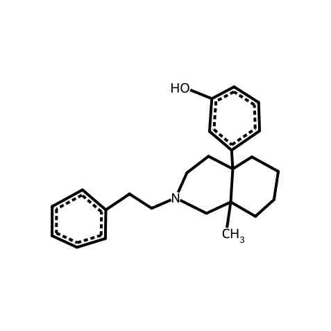 CC12CCCCC1(c1cccc(O)c1)CCN(CCc1ccccc1)C2